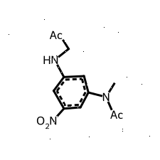 CC(=O)CNc1cc(N(C)C(C)=O)cc([N+](=O)[O-])c1